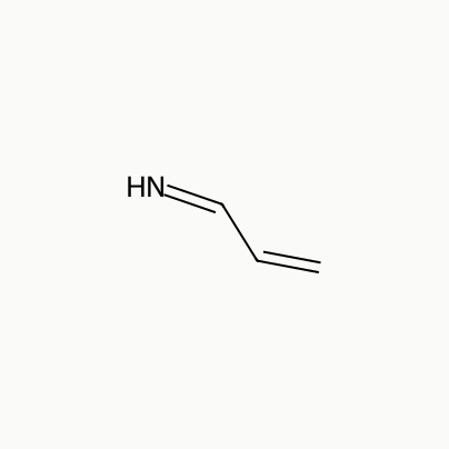 C=CC=N